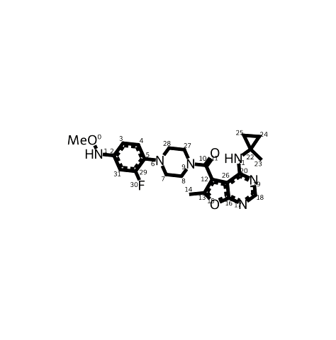 CONc1ccc(N2CCN(C(=O)c3c(C)oc4ncnc(NC5(C)CC5)c34)CC2)c(F)c1